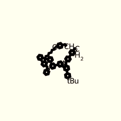 C=Cc1ccc(OCCCCCCC2(c3ccccc3)c3ccccc3-c3ccc(N(c4ccccc4)c4ccc(-c5ccc6c(c5)c5cc(-c7ccc(C(C)(C)C)cc7)ccc5n6-c5ccc(-c6ccc(C=C)cc6)cc5)cc4)cc32)cc1